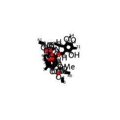 C=COC(=O)Oc1cc2c(cc1OC)[C@@]1(CS[C@@H]3c4c(O)c(C)c5c(c4[C@H](COC1=O)N1C3[C@H]3c4c(cc(C)c(OC)c4OC(=O)OC=C)C[C@@H]([C@@H]1C#N)N3C)OCO5)N(C(=O)OC=C)CC2